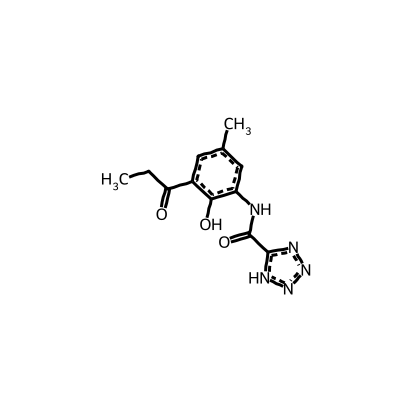 CCC(=O)c1cc(C)cc(NC(=O)c2nnn[nH]2)c1O